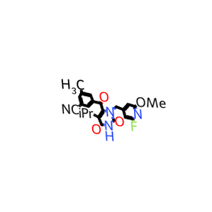 COc1cc(Cn2c(C(=O)c3cc(C)cc(C#N)c3)c(C(C)C)c(=O)[nH]c2=O)cc(F)n1